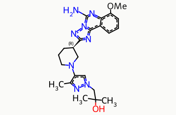 COc1cccc2c1nc(N)n1nc([C@@H]3CCCN(c4cn(CC(C)(C)O)nc4C)C3)nc21